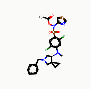 CN(c1cc(F)c(S(=O)(=O)N(OC(=O)C(F)(F)F)c2cscn2)cc1Cl)[C@@H]1CN(Cc2ccccc2)CC12CC2